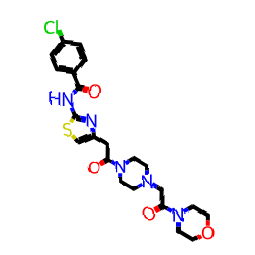 O=C(Nc1nc(CC(=O)N2CCN(CC(=O)N3CCOCC3)CC2)cs1)c1ccc(Cl)cc1